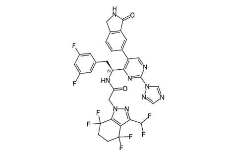 O=C(Cn1nc(C(F)F)c2c1C(F)(F)CCC2(F)F)N[C@@H](Cc1cc(F)cc(F)c1)c1nc(-n2cncn2)ncc1-c1ccc2c(c1)C(=O)NC2